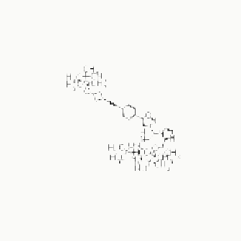 C[C@H](O[Si](C)(C)C(C)(C)C)c1nccn1[C@H](CNC(=O)OC(C)(C)C)c1cc(-c2ccc(C#CC3CC(O[Si](C)(C)C(C)(C)C)C3)cc2)on1